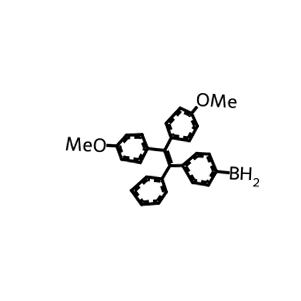 Bc1ccc(C(=C(c2ccc(OC)cc2)c2ccc(OC)cc2)c2ccccc2)cc1